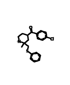 CC1(CSc2ccccc2)CC(C(=O)c2ccc(Cl)cc2)CC[N]1